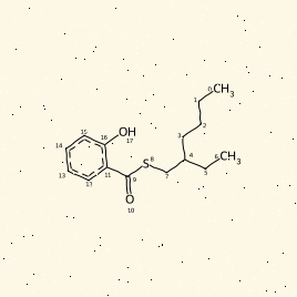 CCCCC(CC)CSC(=O)c1ccccc1O